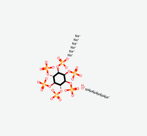 O.O=P([O-])([O-])O[C@H]1[C@H](OP(=O)([O-])[O-])[C@@H](OP(=O)([O-])[O-])[C@H](OP(=O)([O-])[O-])[C@@H](OP(=O)([O-])[O-])[C@H]1OP(=O)([O-])[O-].[Na+].[Na+].[Na+].[Na+].[Na+].[Na+].[Na+].[Na+].[Na+].[Na+].[Na+].[Na+]